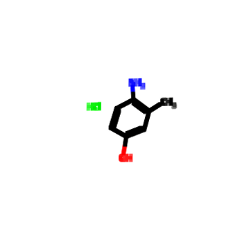 Cc1cc(O)ccc1N.Cl